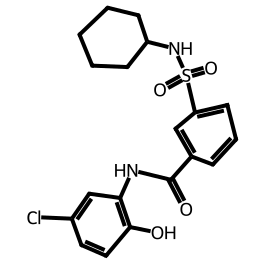 O=C(Nc1cc(Cl)ccc1O)c1cccc(S(=O)(=O)NC2CCCCC2)c1